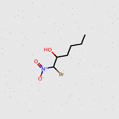 CCCCC(O)C(Br)[N+](=O)[O-]